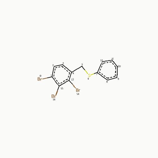 Brc1ccc(CSc2ccccc2)c(Br)c1Br